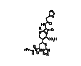 CCCNS(=O)(=O)CCC(Sc1nnn[nH]1)C1=C(C(=O)O)N2C(=O)C(NC(=O)Cc3cccs3)[C@@H]2SC1